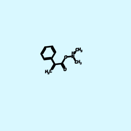 C=C(C(=O)O[SiH](C)C)c1ccccc1